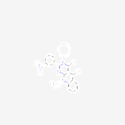 Cn1c2ccccc2c(=O)c2c(=O)n(C3CCCCCC3)c(-c3cccc([N+](=O)[O-])c3)nc21